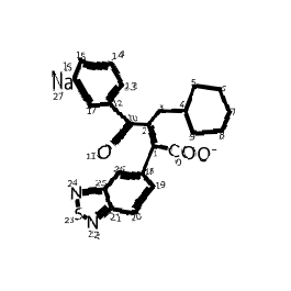 O=C([O-])C(=C(CC1CCCCC1)C(=O)c1ccccc1)c1ccc2nsnc2c1.[Na+]